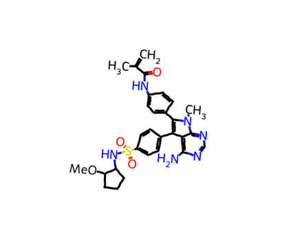 C=C(C)C(=O)Nc1ccc(-c2c(-c3ccc(S(=O)(=O)NC4CCCC4OC)cc3)c3c(N)ncnc3n2C)cc1